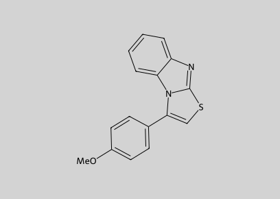 COc1ccc(-c2csc3nc4ccccc4n23)cc1